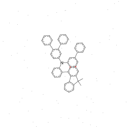 CC1(C)c2ccccc2-c2c(-c3ccccc3N(c3cccc(-c4ccccc4)c3)c3ccc(-c4ccccc4)c(-c4ccccc4)c3)cccc21